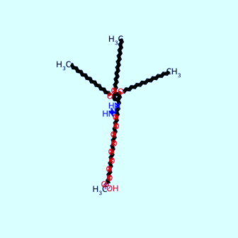 CCCCCCCCCCCCCCCCCCOc1cc(CN/C=C(/COCCOCCOCCOCCOCCOCCOCCOCCP(C)(=O)O)N=N)cc(OCCCCCCCCCCCCCCCCCC)c1OCCCCCCCCCCCCCCCCCC